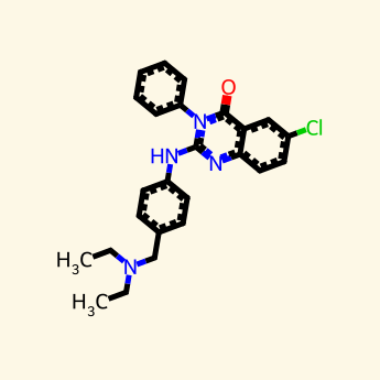 CCN(CC)Cc1ccc(Nc2nc3ccc(Cl)cc3c(=O)n2-c2ccccc2)cc1